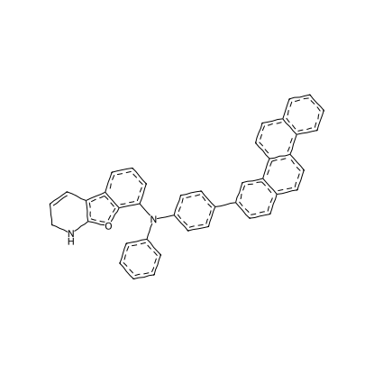 C1=Cc2c(oc3c(N(c4ccccc4)c4ccc(-c5ccc6ccc7c8ccccc8ccc7c6c5)cc4)cccc23)NC1